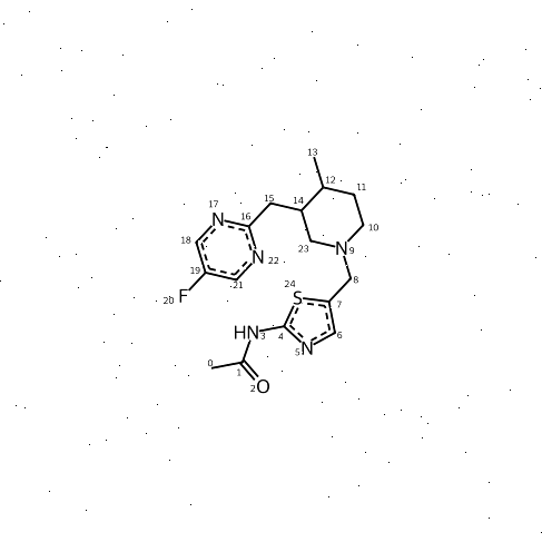 CC(=O)Nc1ncc(CN2CCC(C)C(Cc3ncc(F)cn3)C2)s1